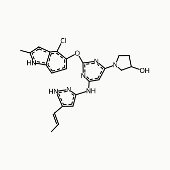 C/C=C/c1cc(Nc2cc(N3CCC(O)C3)nc(Oc3ccc4[nH]c(C)cc4c3Cl)n2)n[nH]1